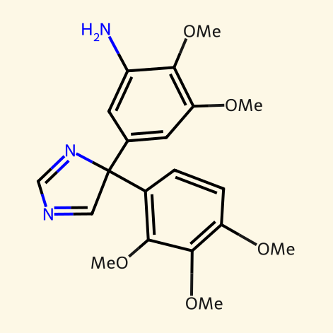 COc1cc(C2(c3ccc(OC)c(OC)c3OC)C=NC=N2)cc(N)c1OC